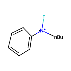 CCCC[N+](F)c1ccccc1